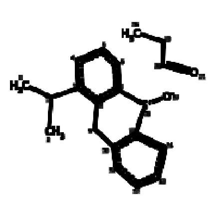 CC(C)c1cccc2c1Cc1ccccc1[S+]2[O-].CCC=O